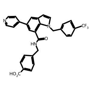 O=C(O)c1ccc(CNC(=O)c2cc(-c3ccncc3)cc3ccn(Cc4ccc(C(F)(F)F)cc4)c23)cc1